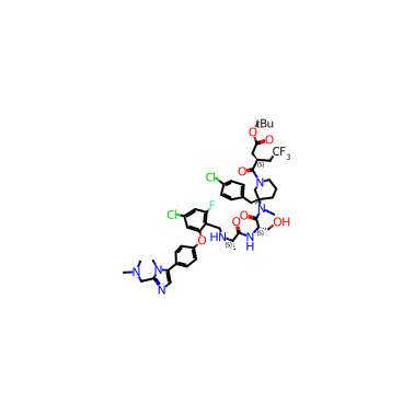 C[C@H](NCc1c(F)cc(Cl)cc1Oc1ccc(-c2cnc(CN(C)C)n2C)cc1)C(=O)N[C@@H](CO)C(=O)N(C)[C@@]1(Cc2ccc(Cl)cc2)CCCN(C(=O)[C@@H](CC(=O)OC(C)(C)C)CC(F)(F)F)C1